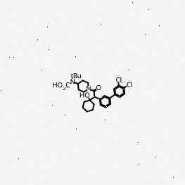 CC(C)(C)N(C(=O)O)C1CCN(C(=O)C(c2cccc(-c3ccc(Cl)c(Cl)c3)c2)C2(O)CCCCC2)CC1